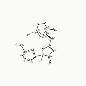 COc1cc(C2(C)SC(N[C@H]3C[C@H]4CC[C@H]3C4)=NC2=O)ccn1